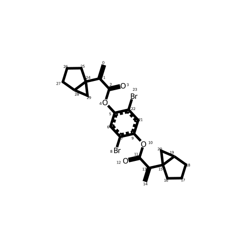 C=C(C(=O)Oc1cc(Br)c(OC(=O)C(=C)C23CCCC2C3)cc1Br)C12CCCC1C2